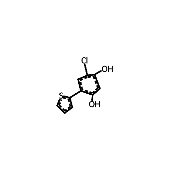 Oc1cc(O)c(-c2cccs2)cc1Cl